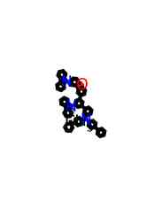 CC1(c2ccc(N(c3ccc(-c4ccccc4)cc3)c3cccc(-c4cc(-c5ccc6oc7ccc(-n8c9ccccc9c9ccccc98)cc7c6c5)cc(-n5c6ccccc6c6ccccc65)c4)c3)cc2)C=CC=CC1